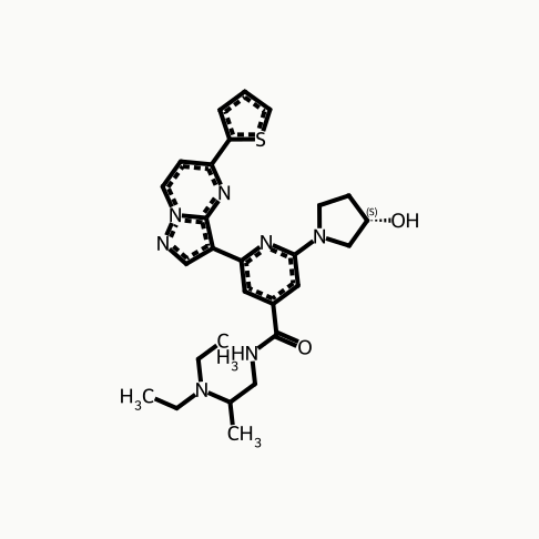 CCN(CC)C(C)CNC(=O)c1cc(-c2cnn3ccc(-c4cccs4)nc23)nc(N2CC[C@H](O)C2)c1